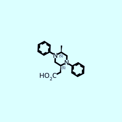 C[C@H]1CN(c2ccccc2)[C@@H](CC(=O)O)CN1c1ccccc1